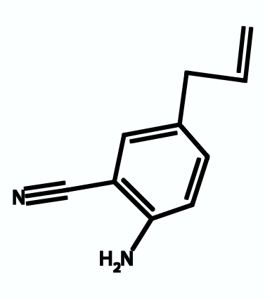 C=CCc1ccc(N)c(C#N)c1